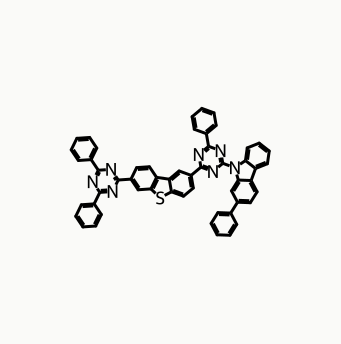 c1ccc(-c2ccc3c4ccccc4n(-c4nc(-c5ccccc5)nc(-c5ccc6sc7cc(-c8nc(-c9ccccc9)nc(-c9ccccc9)n8)ccc7c6c5)n4)c3c2)cc1